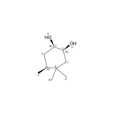 C[C@H]1C[C@@H](O)[C@@H](O)CC1(C)C